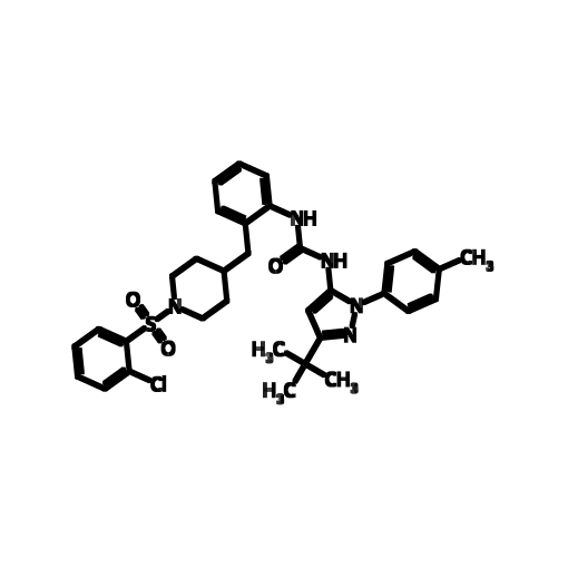 Cc1ccc(-n2nc(C(C)(C)C)cc2NC(=O)Nc2ccccc2CC2CCN(S(=O)(=O)c3ccccc3Cl)CC2)cc1